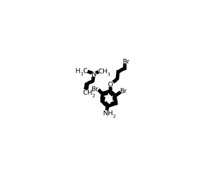 C=CCN(C)C.Nc1cc(Br)c(OCCCBr)c(Br)c1